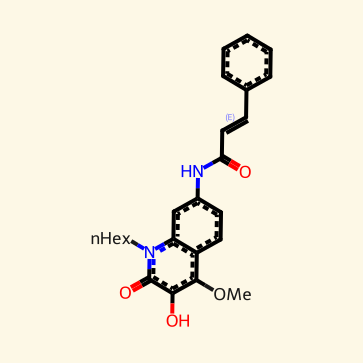 CCCCCCn1c(=O)c(O)c(OC)c2ccc(NC(=O)/C=C/c3ccccc3)cc21